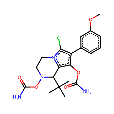 COc1cccc(-c2c(OC(N)=O)c3n(c2Cl)CCN(OC(N)=O)C3C(C)(C)C)c1